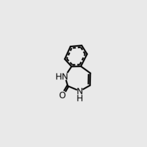 O=C1NC=Cc2ccccc2N1